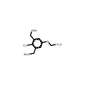 COCc1cc(OCC(=O)O)cc(COC)c1[N+](=O)[O-]